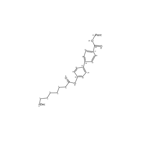 CCCCCCCCCCCCCCCCC(=O)Oc1ccc(-c2ccc(C(=O)OC(C)CCC)cc2)cc1